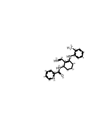 Cc1ccccc1NC1=C(C=N)C(NC(=O)c2ccccn2)CCC1